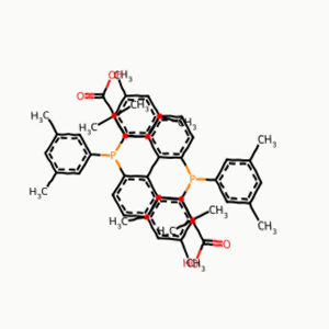 Cc1cc(C)cc(P(c2cc(C)cc(C)c2)c2cccc(CC(C)(C)C(=O)O)c2-c2c(CC(C)(C)C(=O)O)cccc2P(c2cc(C)cc(C)c2)c2cc(C)cc(C)c2)c1